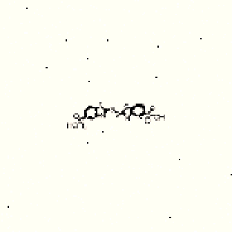 O=S(=O)(O)c1ccc2sc(SSc3nc4cc(S(=O)(=O)O)ccc4s3)nc2c1